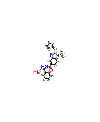 CCC(CC)n1c(Cc2cccs2)nc2cc(C(=O)NC(CO)c3ccccc3)ccc21